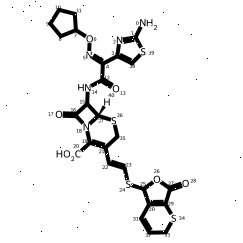 Nc1nc(C(=NOC2CCCC2)C(=O)NC2C(=O)N3C(C(=O)O)=C(C=CSC4OC(=O)C5=C4C=CCS5)CS[C@@H]23)cs1